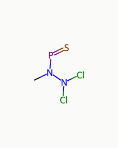 CN(P=S)N(Cl)Cl